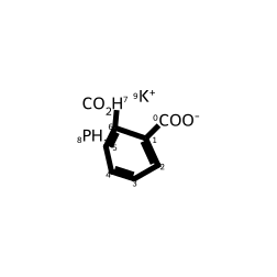 O=C([O-])c1ccccc1C(=O)O.P.[K+]